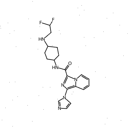 O=C(NC1CCC(NCC(F)F)CC1)c1nc(-n2ccnc2)c2ccccn12